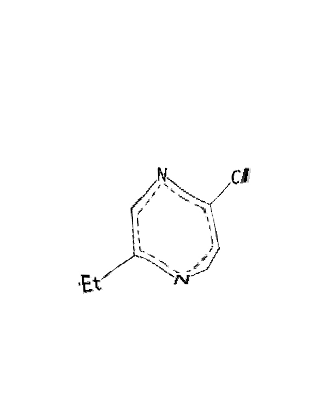 C[CH]c1cnc(Cl)cn1